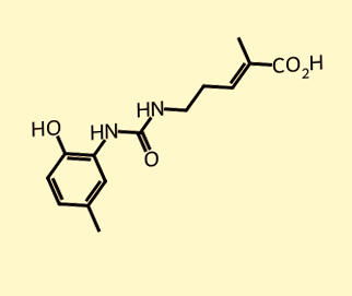 CC(=CCCNC(=O)Nc1cc(C)ccc1O)C(=O)O